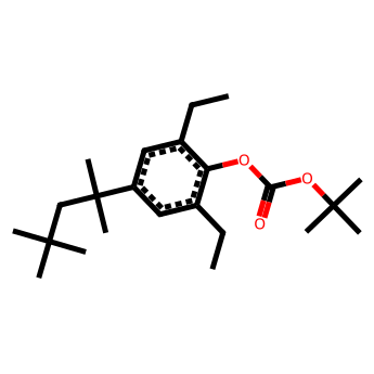 CCc1cc(C(C)(C)CC(C)(C)C)cc(CC)c1OC(=O)OC(C)(C)C